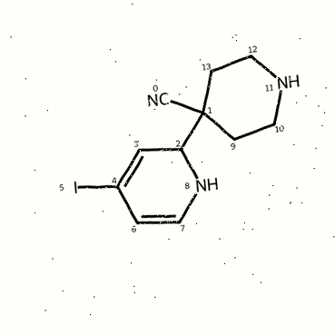 N#CC1(C2C=C(I)C=CN2)CCNCC1